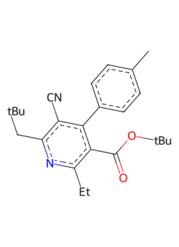 CCc1nc(CC(C)(C)C)c(C#N)c(-c2ccc(C)cc2)c1C(=O)OC(C)(C)C